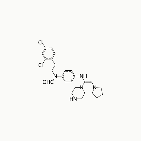 O=CN(CCc1ccc(Cl)cc1Cl)c1ccc(N/C(=C/N2CCCC2)N2CCNCC2)cc1